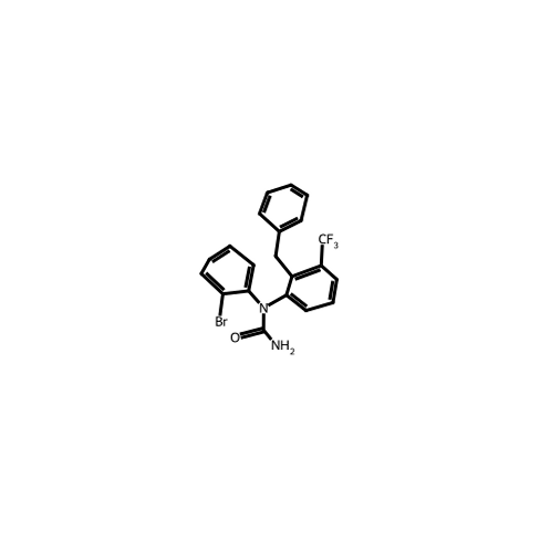 NC(=O)N(c1ccccc1Br)c1cccc(C(F)(F)F)c1Cc1ccccc1